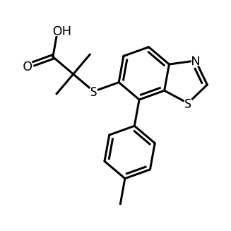 Cc1ccc(-c2c(SC(C)(C)C(=O)O)ccc3ncsc23)cc1